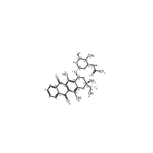 CC(=O)O[C@H]1[C@@H](NC(=O)C(F)(F)F)C[C@H](O[C@H]2C[C@](N)([C@H](C)O)Cc3c(O)c4c(c(O)c32)C(=O)c2ccccc2C4=O)O[C@H]1C